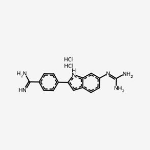 Cl.Cl.N=C(N)c1ccc(-c2cc3ccc(N=C(N)N)cc3[nH]2)cc1